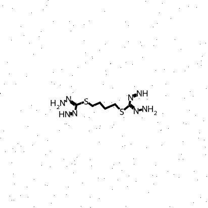 N=NC(=NN)SCCCCSC(N=N)=NN